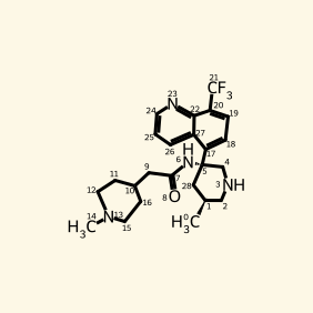 C[C@@H]1CNC[C@](NC(=O)CC2CCN(C)CC2)(c2ccc(C(F)(F)F)c3ncccc23)C1